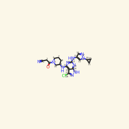 N#CCC(=O)N1CCCC(Nc2nc(Nc3cnn(C4CC4)c3)nc3[nH]nc(Cl)c23)C1